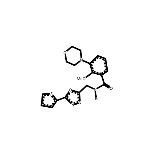 CCN(Cc1nnc(-c2cccs2)o1)C(=O)c1cccc(N2CCOCC2)c1OC